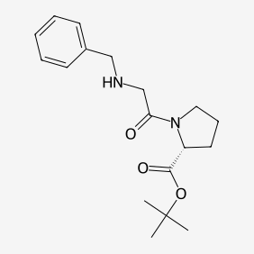 CC(C)(C)OC(=O)[C@H]1CCCN1C(=O)CNCc1ccccc1